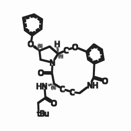 CC(C)(C)CC(=O)N[C@H]1CCCNC(=O)c2cccc(c2)OC[C@@H]2C[C@H](Oc3ccccc3)CN2C1=O